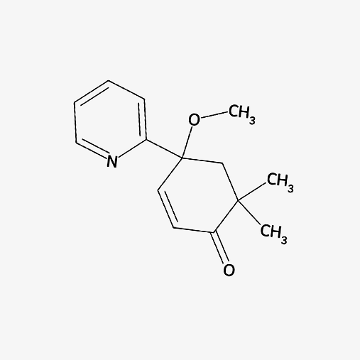 COC1(c2ccccn2)C=CC(=O)C(C)(C)C1